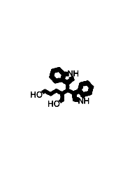 OCCCC(CO)C(c1c[nH]c2ccccc12)c1c[nH]c2ccccc12